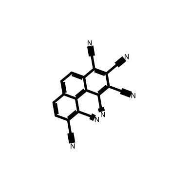 N#Cc1ccc2ccc3c(C#N)c(C#N)c(C#N)c(C#N)c3c2c1C#N